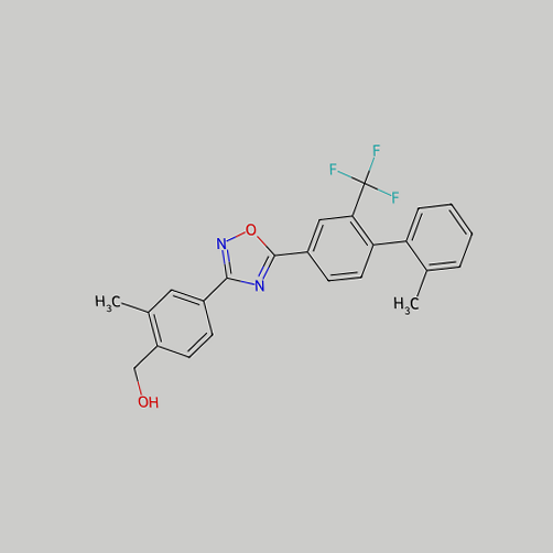 Cc1cc(-c2noc(-c3ccc(-c4ccccc4C)c(C(F)(F)F)c3)n2)ccc1CO